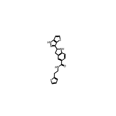 O=C(NCCc1cccs1)c1ccc2c(c1)CC(c1n[nH]c3ccsc13)N2